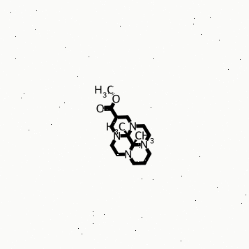 COC(=O)C1CN2CCN3CCCN4CCN(C1)[C@]2(C)[C@]43C